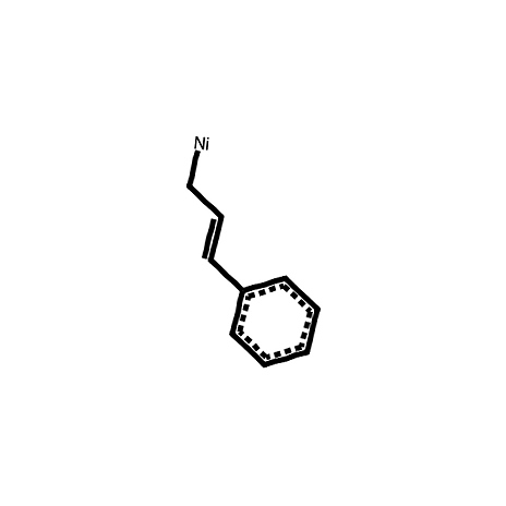 [Ni][CH2]C=Cc1ccccc1